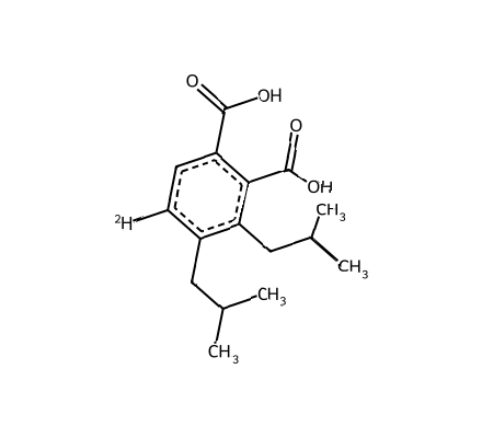 [2H]c1cc(C(=O)O)c(C(=O)O)c(CC(C)C)c1CC(C)C